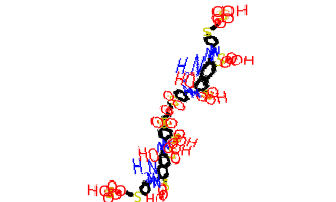 Nc1c(N=Nc2ccc(SC#COOS(=O)(=O)O)cc2)c(SOOO)cc2cc(S(=O)(=O)O)c(N=Nc3ccc(S(=O)(=O)CCOCCS(=O)(=O)c4ccc(N=Nc5c(S(=O)(=O)O)cc6cc(SOOO)c(N=Nc7ccc(SC#COOS(=O)(=O)O)cc7)c(N)c6c5O)c(S(=O)(=O)O)c4)cc3)c(O)c12